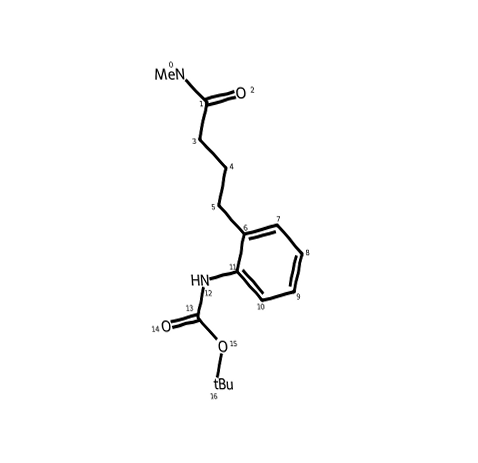 CNC(=O)CCCc1ccccc1NC(=O)OC(C)(C)C